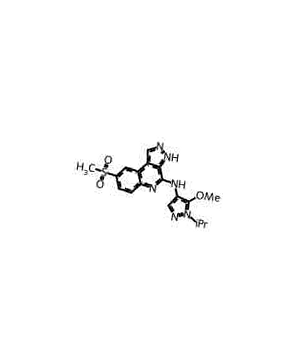 COc1c(Nc2nc3ccc(S(C)(=O)=O)cc3c3cn[nH]c23)cnn1C(C)C